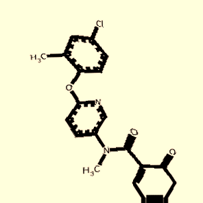 Cc1cc(Cl)ccc1Oc1ccc(N(C)C(=O)C2=CC=CCC2=O)cn1